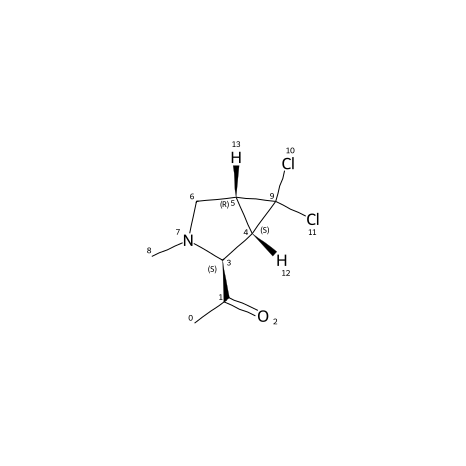 CC(=O)[C@@H]1[C@@H]2[C@H](CN1C)C2(Cl)Cl